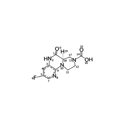 O=C1Nc2cc(F)cnc2N2CCN(C(=O)O)C[C@H]12